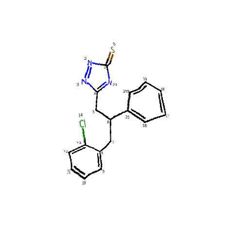 S=C1N=NC(CC(Cc2ccccc2Cl)c2ccccc2)=N1